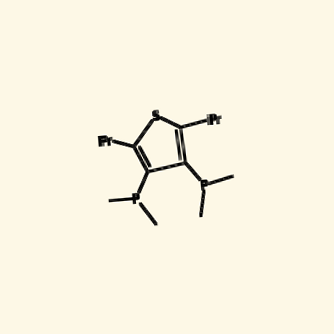 CC(C)c1sc(C(C)C)c(P(C)C)c1P(C)C